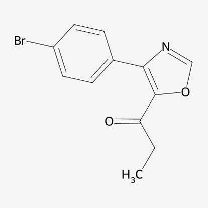 CCC(=O)c1ocnc1-c1ccc(Br)cc1